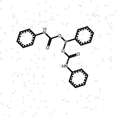 O=C(Nc1ccccc1)OB(OC(=O)Nc1ccccc1)c1ccccc1